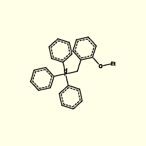 CCOc1ccccc1C[PH](c1ccccc1)(c1ccccc1)c1ccccc1